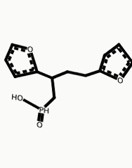 O=[PH](O)CC(CCc1ccco1)c1ccco1